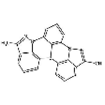 Cc1nn2c3c(cccc13)B1c3c-2cccc3-n2nc(C)c3cccc1c32